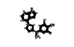 CN(c1cc(F)c(C#N)c(F)c1)[C@@H]1CCN(c2ncnc3[nH]ccc23)C1